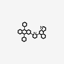 c1ccc(-c2c3ccccc3c(-c3ccccc3)c3cc(-c4cccc(-c5cc6ncccc6c6ccccc56)n4)ccc23)cc1